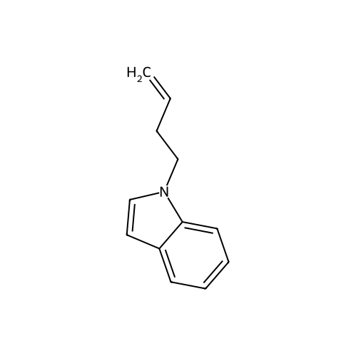 C=CCCn1ccc2ccccc21